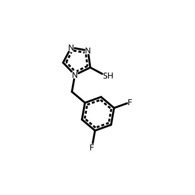 Fc1cc(F)cc(Cn2cnnc2S)c1